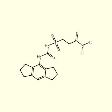 CCN(CC)C(=O)CCS(=O)(=O)NC(=O)Nc1c2c(cc3c1CCC3)CCC2